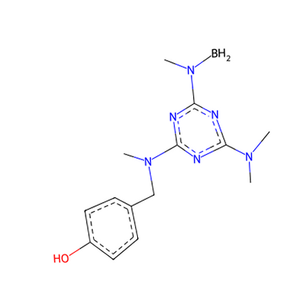 BN(C)c1nc(N(C)C)nc(N(C)Cc2ccc(O)cc2)n1